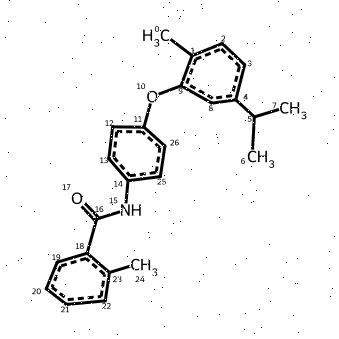 Cc1ccc(C(C)C)cc1Oc1ccc(NC(=O)c2ccccc2C)cc1